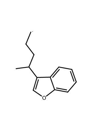 [CH2]CCC(C)c1coc2ccccc12